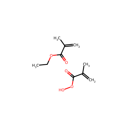 C=C(C)C(=O)OCC.C=C(C)C(=O)OO